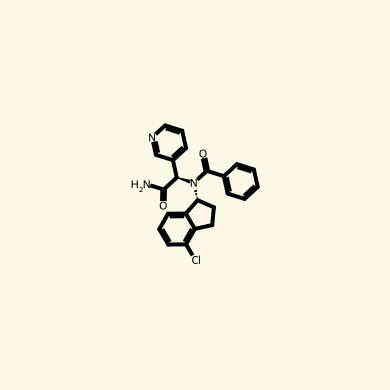 NC(=O)[C@@H](c1cccnc1)N(C(=O)c1ccccc1)[C@@H]1CCc2c(Cl)cccc21